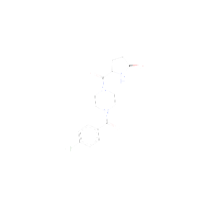 O=C1CCC(C(=O)N2CCN(C(=O)c3ccc(Cl)cc3)CC2)N1